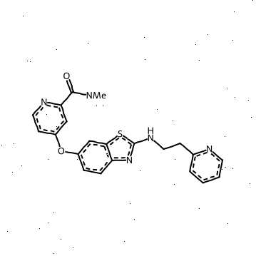 CNC(=O)c1cc(Oc2ccc3nc(NCCc4ccccn4)sc3c2)ccn1